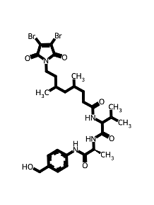 CC(CCC(=O)NC(C(=O)N[C@@H](C)C(=O)Nc1ccc(CO)cc1)C(C)C)CC(C)CCN1C(=O)C(Br)=C(Br)C1=O